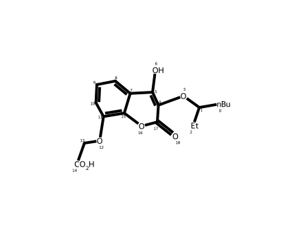 CCCCC(CC)Oc1c(O)c2cccc(OCC(=O)O)c2oc1=O